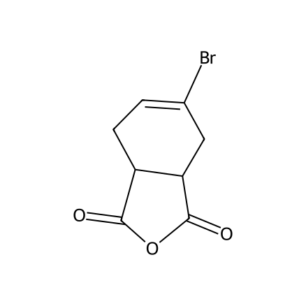 O=C1OC(=O)C2CC(Br)=CCC12